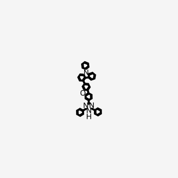 c1ccc(C2=NC(c3ccc4c(c3)oc3cc(-c5cccc6c5c5ccccc5n6-c5ccccc5)ccc34)=NC(c3ccccc3)N2)cc1